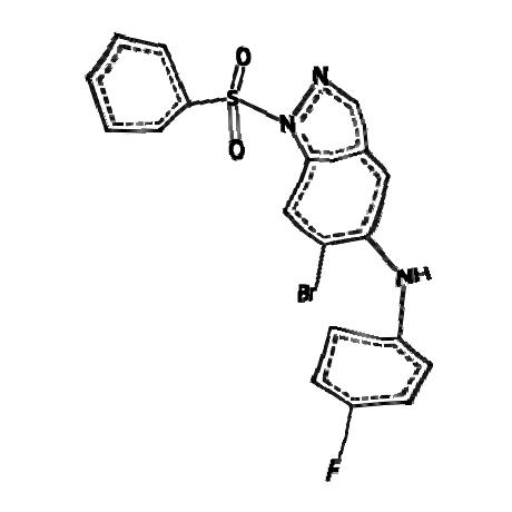 O=S(=O)(c1ccccc1)n1ncc2cc(Nc3ccc(F)cc3)c(Br)cc21